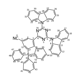 N#Cc1cc(-c2nc(-n3c4ccccc4c4ccccc43)nc(-n3c4ccccc4c4ccccc43)n2)cc(S(c2ccccc2)(c2ccccc2)c2ccccc2)c1